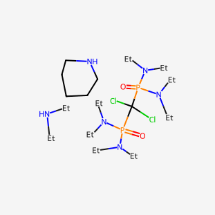 C1CCNCC1.CCN(CC)P(=O)(N(CC)CC)C(Cl)(Cl)P(=O)(N(CC)CC)N(CC)CC.CCNCC